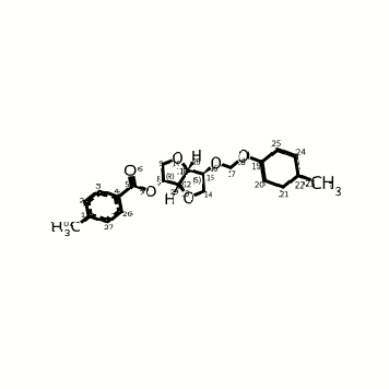 Cc1ccc(C(=O)O[C@@H]2CO[C@H]3[C@@H]2OC[C@@H]3OCOC2CCC(C)CC2)cc1